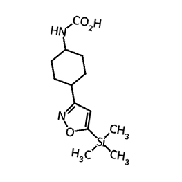 C[Si](C)(C)c1cc(C2CCC(NC(=O)O)CC2)no1